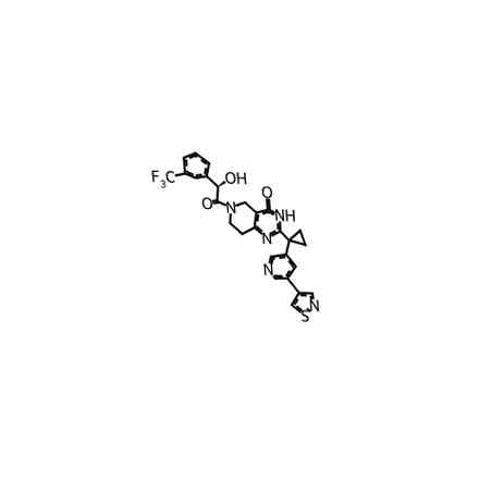 O=C([C@H](O)c1cccc(C(F)(F)F)c1)N1CCc2nc(C3(c4cncc(-c5cnsc5)c4)CC3)[nH]c(=O)c2C1